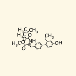 CCc1cc(O)ccc1-c1ccc(C[C@H](NC(=O)OC(C)(C)C)C(=O)OC)cc1